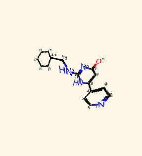 O=c1cc(-c2ccncc2)[nH]c(NCC2CCCCC2)n1